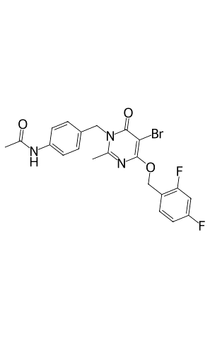 CC(=O)Nc1ccc(Cn2c(C)nc(OCc3ccc(F)cc3F)c(Br)c2=O)cc1